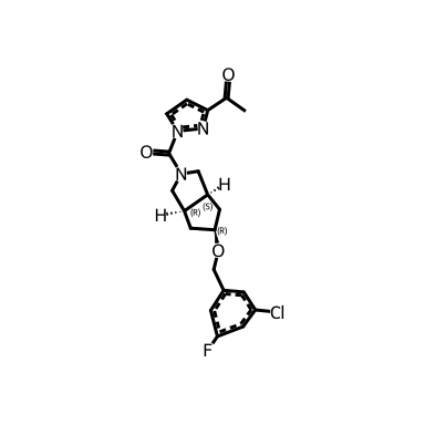 CC(=O)c1ccn(C(=O)N2C[C@H]3C[C@@H](OCc4cc(F)cc(Cl)c4)C[C@H]3C2)n1